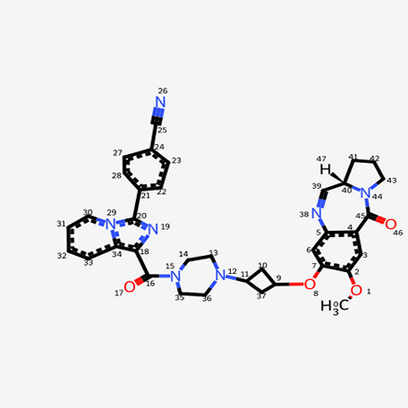 COc1cc2c(cc1OC1CC(N3CCN(C(=O)c4nc(-c5ccc(C#N)cc5)n5ccccc45)CC3)C1)N=C[C@@H]1CCCN1C2=O